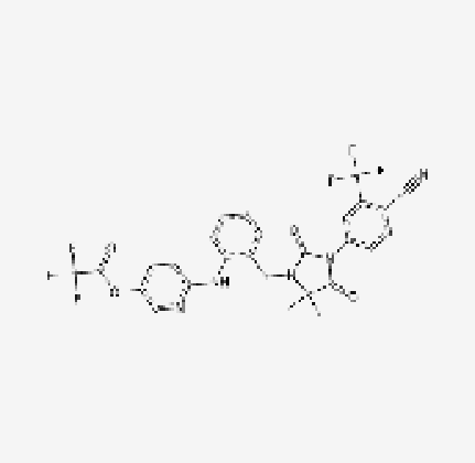 CC1(C)C(=O)N(c2ccc(C#N)c(C(F)(F)F)c2)C(=O)N1Cc1ccccc1Nc1ccc(OC(=O)C(F)(F)F)nn1